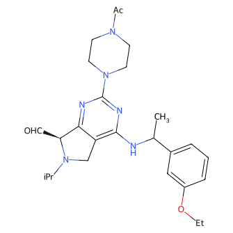 CCOc1cccc(C(C)Nc2nc(N3CCN(C(C)=O)CC3)nc3c2CN(C(C)C)[C@H]3C=O)c1